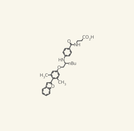 CCCCC(COc1cc(C)c(-c2cc3ccccc3o2)c(C)c1)Nc1ccc(C(=O)NCCC(=O)O)cc1